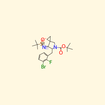 CC(C)(C)OC(=O)N1CC2(CC2)/C(=N\[S@+]([O-])C(C)(C)C)C1Cc1cccc(Br)c1F